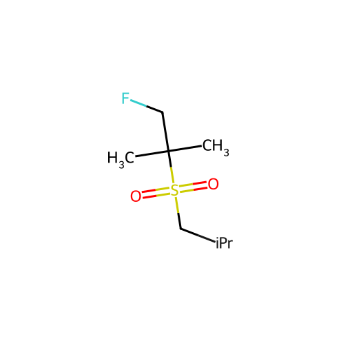 CC(C)CS(=O)(=O)C(C)(C)CF